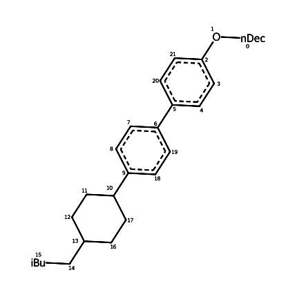 CCCCCCCCCCOc1ccc(-c2ccc(C3CCC(CC(C)CC)CC3)cc2)cc1